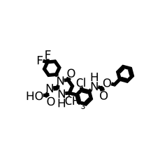 C[C@@]1(c2cccc(NC(=O)OCc3ccccc3)c2Cl)CC(=O)N(C2CCC(F)(F)CC2)/C(=N/C(=O)O)N1